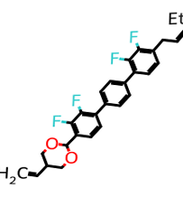 C=CC1COC(c2ccc(-c3ccc(-c4ccc(C/C=C\CC)c(F)c4F)cc3)c(F)c2F)OC1